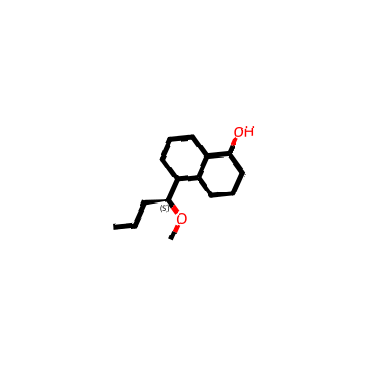 CCC[C@H](OC)C1CCCC2C(O)CCCC21